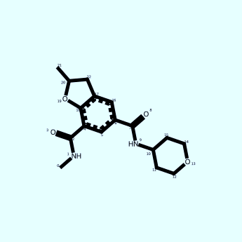 CNC(=O)c1cc(C(=O)NC2CCOCC2)cc2c1OC(C)C2